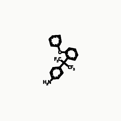 Nc1ccc(C(c2ccccc2Oc2ccccc2)(C(F)(F)F)C(F)(F)F)cc1